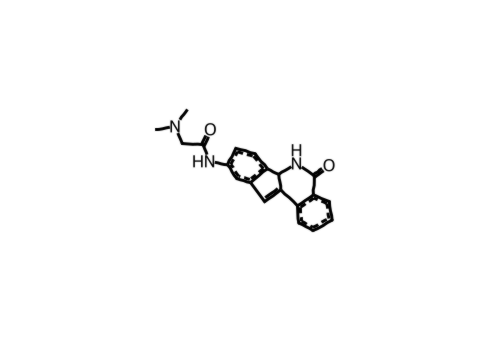 CN(C)CC(=O)Nc1ccc2c(c1)C=C1c3ccccc3C(=O)NC12